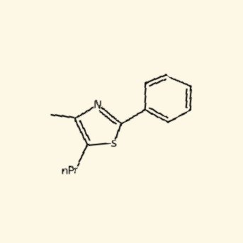 CCCc1sc(-c2ccccc2)nc1C